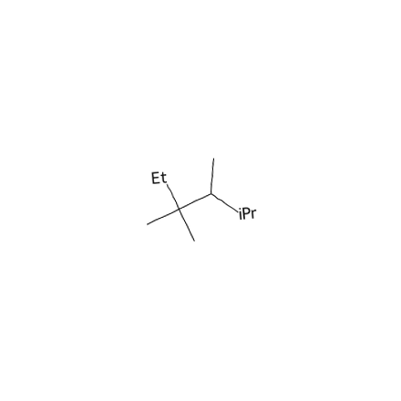 [CH2]C(C)C(C)C(C)(C)CC